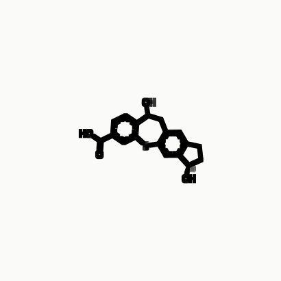 O=C(O)c1ccc2c(c1)Sc1cc3c(cc1CC2O)CC[C@H]3O